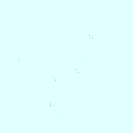 O=C(O)c1cccc(C(=O)N2CCCCC2)c1-c1ncc2c[nH]nc2n1